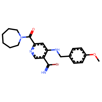 COc1ccc(CNc2cc(C(=O)N3CCCCCC3)ncc2C(=N)Br)cc1